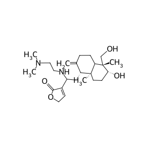 C=C1CCC2[C@](C)(CO)[C@H](O)CC[C@@]2(C)[C@@H]1CC(NCCN(C)C)C1=CCOC1=O